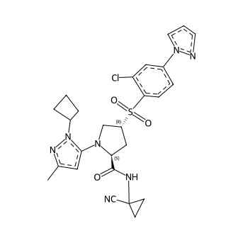 Cc1cc(N2C[C@H](S(=O)(=O)c3ccc(-n4cccn4)cc3Cl)C[C@H]2C(=O)NC2(C#N)CC2)n(C2CCC2)n1